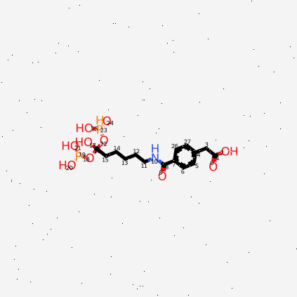 O=C(O)Cc1ccc(C(=O)NCCCCCC(O)(OP(O)O)O[PH](=O)O)cc1